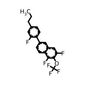 CCCc1ccc(-c2ccc3c(F)c(OC(F)(F)F)c(F)cc3c2)c(F)c1